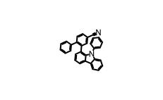 N#Cc1ccc(-c2ccccc2)c(-c2cccc3c4ccccc4n(-c4ccccc4)c23)c1